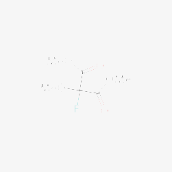 COC(=O)C(F)(OC)C(=O)OC